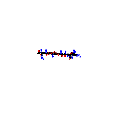 CC(=O)CN[C@@H](CCCCNC(=O)COCCOCCNC(=O)COCCOCCNC(=O)CCCC(=O)NCCCC[C@H](NCC(C)=O)C(=O)N[C@@H](CCCCN)C(N)=O)C(N)=O